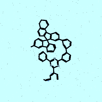 C=C/C(=C\C=C/C)c1nc(-c2ccccc2)nc(-c2cccc(-c3cccc(-c4ccc5c(c4)C4(c6c#cccc6-c6cc(C)ccc64)c4ccc6c(c4-5)C=CCC6)c3)c2)n1